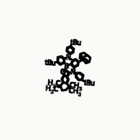 CC(C)(C)c1ccc(N2c3ccc(C(C)(C)C)cc3B3c4oc5cc6c(cc5c4N(c4ccc(C(C)(C)C)cc4)c4cc(C57CC8CC(CC(C8)C5)C7)cc2c43)C(C)(C)CCC6(C)C)cc1